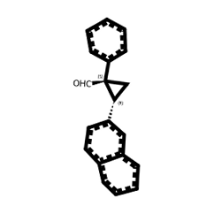 O=C[C@@]1(c2ccccc2)C[C@@H]1c1ccc2ccccc2c1